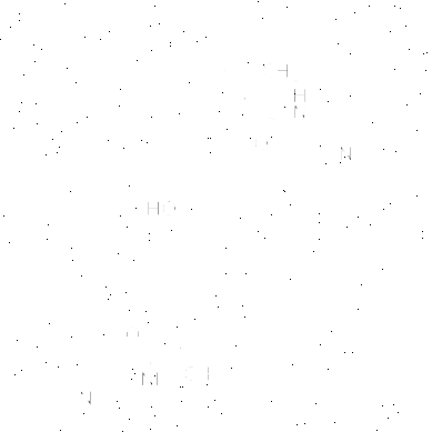 CC(CCCCC(O)CCCCC(C)(C(=O)NC#N)c1ccccc1)(C(=O)NC#N)c1ccccc1